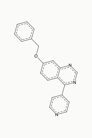 c1ccc(COc2ccc3c(-c4ccncc4)ncnc3c2)cc1